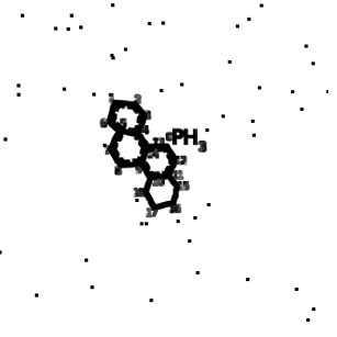 P.c1ccc2c(c1)ccc1c3c(ccc12)CCCC3